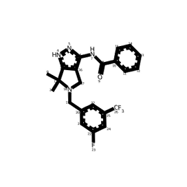 CC1(C)c2[nH]nc(NC(=O)c3ccccc3)c2CN1Cc1cc(F)cc(C(F)(F)F)c1